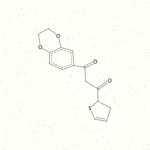 O=C(CC(=O)C1CC=CS1)c1ccc2c(c1)OCCO2